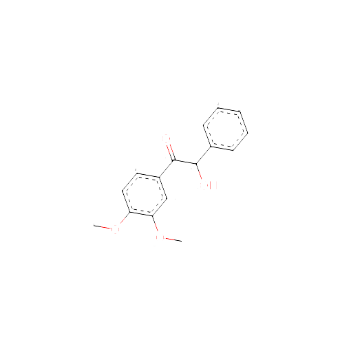 COc1ccc(C(=O)C(O)c2ccccc2)cc1OC